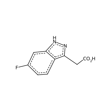 O=C(O)Cc1n[nH]c2cc(F)ccc12